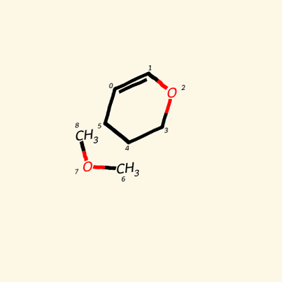 C1=COCCC1.COC